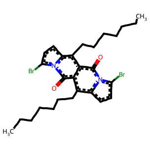 CCCCCCCc1c2c(=O)n3c(Br)ccc3c(CCCCCCC)c2c(=O)n2c(Br)ccc12